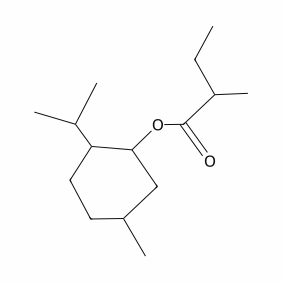 CCC(C)C(=O)OC1CC(C)CCC1C(C)C